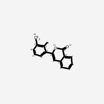 Cc1c(-c2cc3ccccc3c(=O)o2)cccc1C(F)(F)F